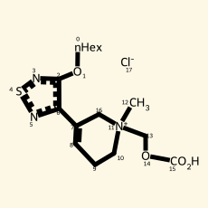 CCCCCCOc1nsnc1C1=CCC[N+](C)(COC(=O)O)C1.[Cl-]